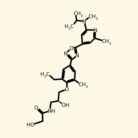 CCc1cc(-c2noc(-c3cc(C)nc(N(C)C(C)C)c3)n2)cc(C)c1OC[C@@H](O)CNC(=O)CO